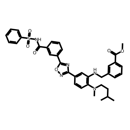 COC(=O)c1cccc(CNc2cc(-c3noc(-c4cccc(C(=O)NS(=O)(=O)c5ccccc5)c4)n3)ccc2N(C)CCC(C)C)c1